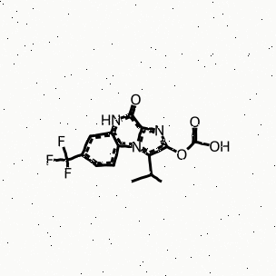 CC(C)c1c(OC(=O)O)nc2c(=O)[nH]c3cc(C(F)(F)F)ccc3n12